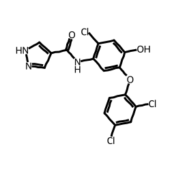 O=C(Nc1cc(Oc2ccc(Cl)cc2Cl)c(O)cc1Cl)c1cn[nH]c1